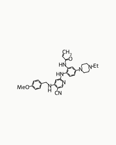 C=CC(=O)Nc1cc(N2CCN(CC)CC2)ccc1Nc1cc(NCc2ccc(OC)cc2)c(C#N)cn1